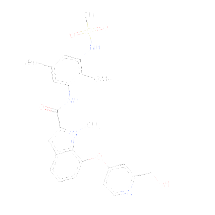 COc1c(NC(=O)c2cc3cccc(Oc4ccnc(CO)c4)c3n2C)cc(C(C)(C)C)cc1NS(C)(=O)=O